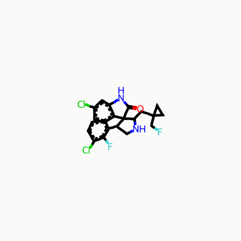 O=C1Nc2cc(Cl)ccc2C12C(CC1(CF)CC1)NCC2c1cccc(Cl)c1F